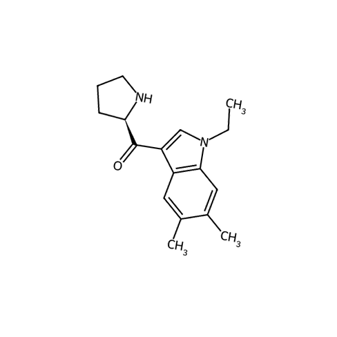 CCn1cc(C(=O)[C@H]2CCCN2)c2cc(C)c(C)cc21